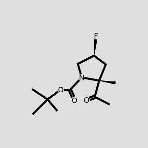 CC(=O)[C@@]1(C)C[C@H](F)CN1C(=O)OC(C)(C)C